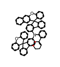 C1=CC(c2ccccc2N(c2ccc3c(c2)C2(c4ccccc4Oc4ccccc42)c2ccccc2-3)c2cccc3c2-c2ccccc2C32c3ccccc3Oc3cc4ccccc4cc32)=CCC1